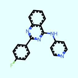 Fc1ccc(-c2nc(Nc3ccncc3)c3ccccc3n2)cc1